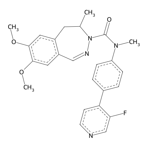 COc1cc2c(cc1OC)CC(C)N(C(=O)N(C)c1ccc(-c3ccncc3F)cc1)N=C2